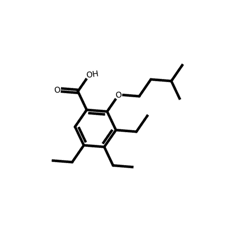 CCc1cc(C(=O)O)c(OCCC(C)C)c(CC)c1CC